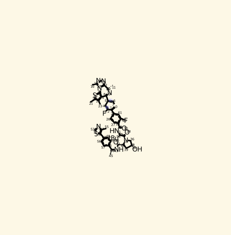 C=C(/C(F)=C\C(=C/C)C1=N[C@@H](C)c2nnc(C)n2-c2sc(C)c(C)c21)c1ccc(C(=O)N[C@H](C(=O)N2C[C@H](O)C[C@H]2C(=O)N[C@@H](C)c2ccc(-c3scnc3C)cc2)C(C)(C)C)c(F)c1